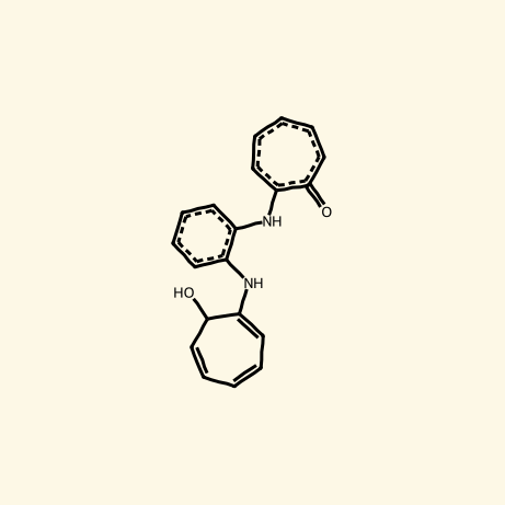 O=c1cccccc1Nc1ccccc1NC1=CC=CC=CC1O